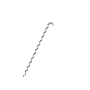 C=I/C=I/C=I/C=I/C=I/C=I/C=I/C=I/C=I/C=I/C=I/C=I/CI